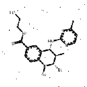 CC[C@H]1[C@H](C)[C@@H](Nc2nccc(C)n2)c2cc(C(=O)NCCO)ccc2N1C(C)=O